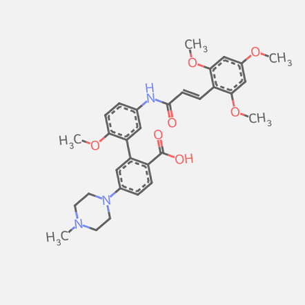 COc1cc(OC)c(C=CC(=O)Nc2ccc(OC)c(-c3cc(N4CCN(C)CC4)ccc3C(=O)O)c2)c(OC)c1